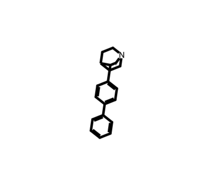 [CH]1[C](c2ccc(-c3ccccc3)cc2)C2CCN1CC2